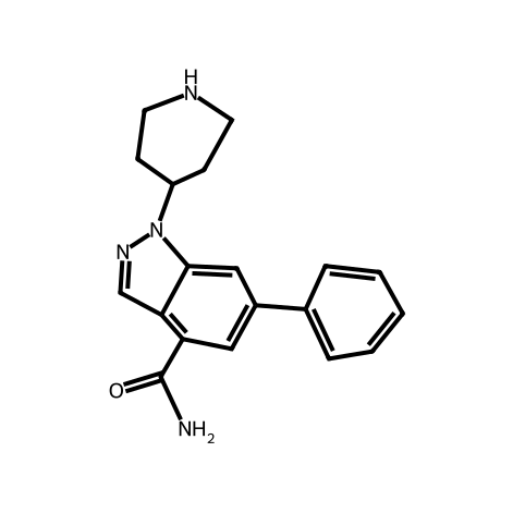 NC(=O)c1cc(-c2ccccc2)cc2c1cnn2C1CCNCC1